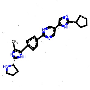 FC(F)(F)c1nc([C@@H]2CCCN2)[nH]c1-c1ccc(-c2ncc(-c3cnc(C4CCCC4)[nH]3)cn2)cc1